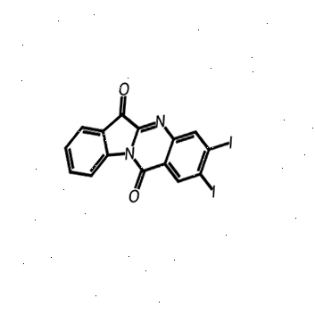 O=C1c2ccccc2-n2c1nc1cc(I)c(I)cc1c2=O